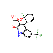 O=c1[nH]c2ccc(C(F)(F)F)cc2c(C2C=CC=CC2(O)Cl)c1CCO